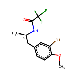 COc1ccc(C[C@@H](C)NC(=O)C(F)(F)F)cc1S